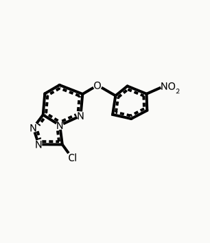 O=[N+]([O-])c1cccc(Oc2ccc3nnc(Cl)n3n2)c1